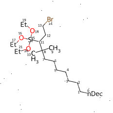 CCCCCCCCCCCCCCCCCC(C)(C)C(CCBr)[Si](OCC)(OCC)OCC